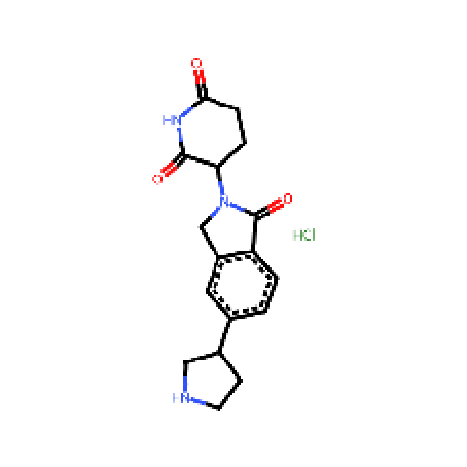 Cl.O=C1CCC(N2Cc3cc(C4CCNC4)ccc3C2=O)C(=O)N1